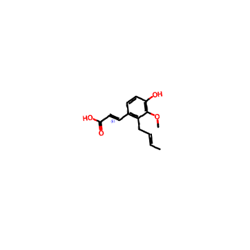 CC=CCc1c(/C=C/C(=O)O)ccc(O)c1OC